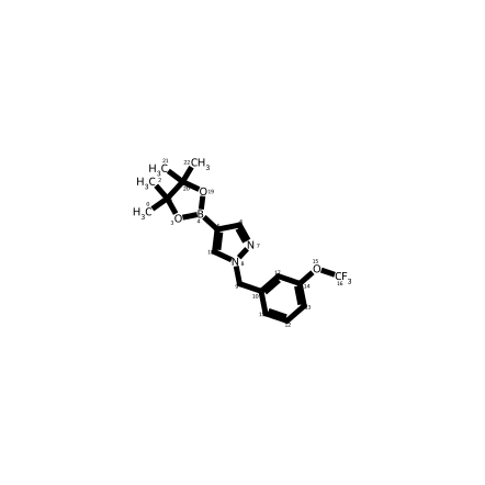 CC1(C)OB(c2cnn(Cc3cccc(OC(F)(F)F)c3)c2)OC1(C)C